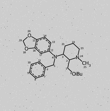 CC(C)COCC1C(N(Cc2ccccc2)c2ccc3c(c2)OCO3)CCCN1C